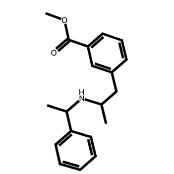 COC(=O)c1cccc(CC(C)NC(C)c2ccccc2)c1